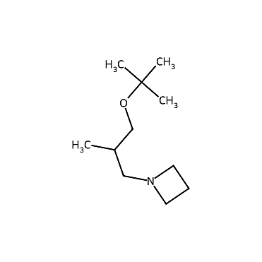 CC(COC(C)(C)C)CN1CCC1